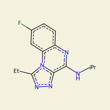 CCc1nnc2c(NC(C)C)nc3ccc(F)cc3n12